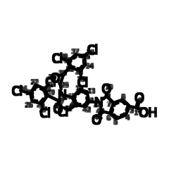 O=C(O)c1ccc2c(c1)C(=O)N(c1ccc(N(C(=O)c3c(Cl)cc(Cl)cc3Cl)C3OC3c3c(Cl)cc(Cl)cc3Cl)c(Cl)c1)C2=O